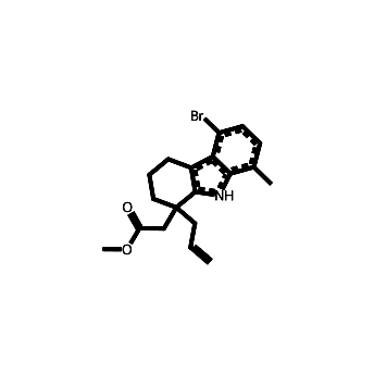 C=CCC1(CC(=O)OC)CCCc2c1[nH]c1c(C)ccc(Br)c21